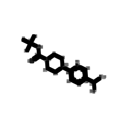 CC(C)(C)OC(=O)N1CCN(c2ccc(C(F)F)cn2)CC1